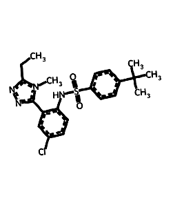 CCc1nnc(-c2cc(Cl)ccc2NS(=O)(=O)c2ccc(C(C)(C)C)cc2)n1C